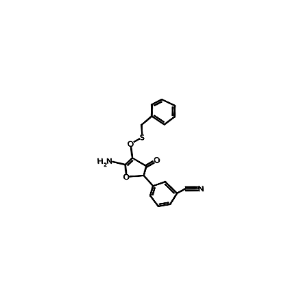 N#Cc1cccc(C2OC(N)=C(OSCc3ccccc3)C2=O)c1